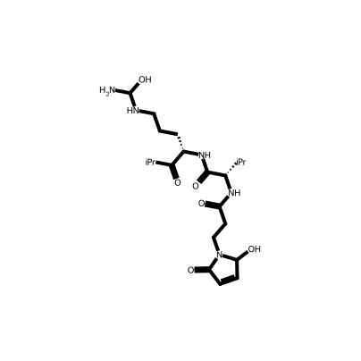 CC(C)C(=O)[C@H](CCCNC(N)O)NC(=O)[C@@H](NC(=O)CCN1C(=O)C=CC1O)C(C)C